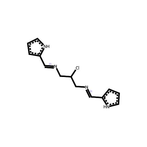 ClC(C/N=C/c1ccc[nH]1)C/N=C/c1ccc[nH]1